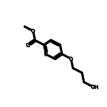 COC(=O)c1ccc(OCCCO)cn1